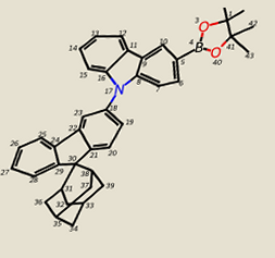 CC1(C)OB(c2ccc3c(c2)c2ccccc2n3-c2ccc3c(c2)-c2ccccc2C32C3CC4CC(C3)CC2C4)OC1(C)C